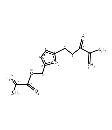 C=C(C)C(=O)CCc1ccc(COC(=O)C(=C)C)o1